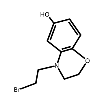 Oc1ccc2c(c1)N(CCBr)CCO2